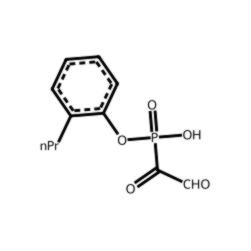 CCCc1ccccc1OP(=O)(O)C(=O)C=O